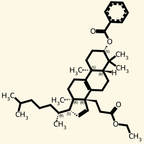 CCOC(=O)CC[C@@]12C=C[C@H]([C@H](C)CCCC(C)C)[C@@]1(C)CCC1=C2CC[C@H]2C(C)(C)[C@@H](OC(=O)c3ccccc3)CC[C@]12C